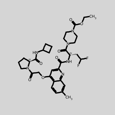 CCOC(=O)N1CCN(C(=O)[C@H](CC(F)F)NC(=O)c2cc(OCC(=O)N3CCC[C@H]3C(=O)NC3CCC3)c3ccc(C)cc3n2)CC1